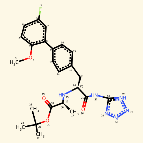 COc1ccc(F)cc1-c1ccc(C[C@H](N[C@@H](C)C(=O)OC(C)(C)C)C(=O)Nc2nnn[nH]2)cc1